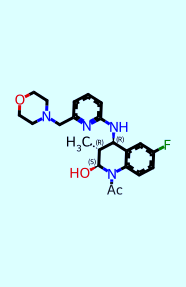 CC(=O)N1c2ccc(F)cc2[C@H](Nc2cccc(CN3CCOCC3)n2)[C@@H](C)[C@@H]1O